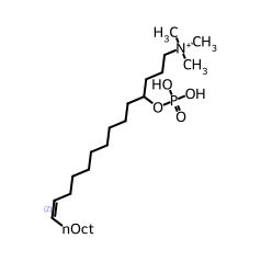 CCCCCCCC/C=C\CCCCCCCCC(CCC[N+](C)(C)C)OP(=O)(O)O